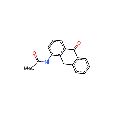 COC(=O)Nc1cccc2c1Cc1ccccc1C2=O